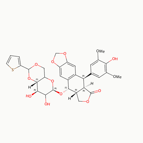 COc1cc([C@@H]2c3cc4c(cc3[C@@H](O[C@@H]3OC5COC(c6cccs6)O[C@H]5[C@H](O)C3O)[C@H]3COC(=O)[C@H]23)OCO4)cc(OC)c1O